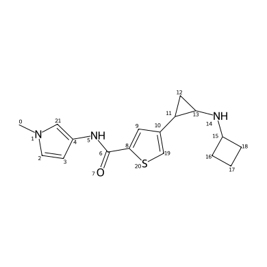 Cn1ccc(NC(=O)c2cc(C3CC3NC3CCC3)cs2)c1